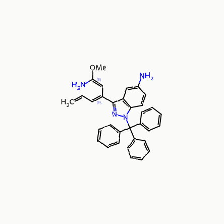 C=C/C=C(\C=C(/N)OC)c1nn(C(c2ccccc2)(c2ccccc2)c2ccccc2)c2ccc(N)cc12